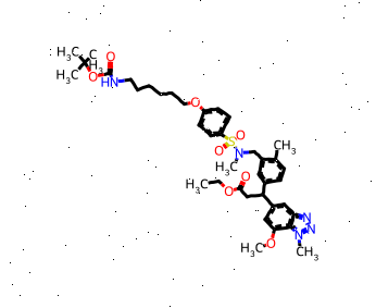 CCOC(=O)CC(c1ccc(C)c(CN(C)S(=O)(=O)c2ccc(OCCCCCCNC(=O)OC(C)(C)C)cc2)c1)c1cc(OC)c2c(c1)nnn2C